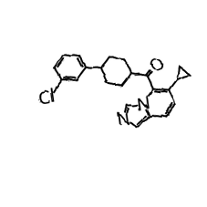 O=C(c1c(C2CC2)ccc2cncn12)C1CCC(c2cccc(Cl)c2)CC1